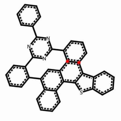 c1ccc(-c2nc(-c3ccccc3)nc(-c3ccccc3-c3cc4ccc5c6ccccc6sc5c4c4ccccc34)n2)cc1